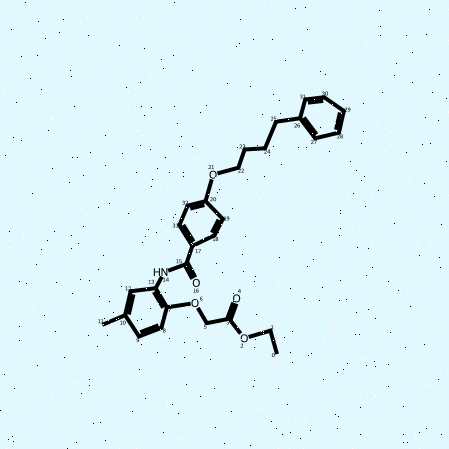 CCOC(=O)COc1ccc(C)cc1NC(=O)c1ccc(OCCCCc2ccccc2)cc1